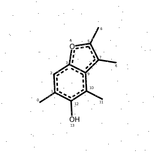 Cc1cc2oc(C)c(C)c2c(C)c1O